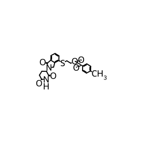 Cc1ccc(S(=O)(=O)OCCSc2cccc3c2CN(C2CCC(=O)NC2=O)C3=O)cc1